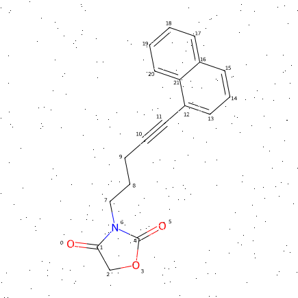 O=C1COC(=O)N1CCCC#Cc1cccc2ccccc12